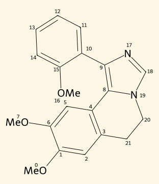 COc1cc2c(cc1OC)-c1c(-c3ccccc3OC)ncn1CC2